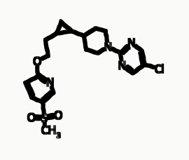 CS(=O)(=O)c1ccc(OCCC2CC2C2CCN(c3ncc(Cl)cn3)CC2)nc1